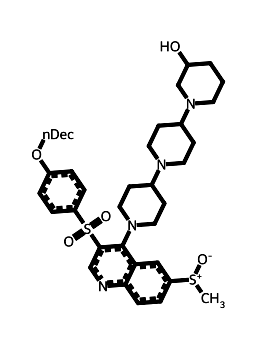 CCCCCCCCCCOc1ccc(S(=O)(=O)c2cnc3ccc([S+](C)[O-])cc3c2N2CCC(N3CCC(N4CCCC(O)C4)CC3)CC2)cc1